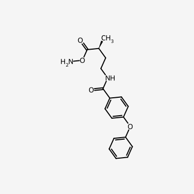 C[C@@H](CCNC(=O)c1ccc(Oc2ccccc2)cc1)C(=O)ON